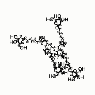 CCC(C)(C)C(CCCCN(Cc1cn(CCOCCO[C@H]2C[C@@H](O)[C@@H](O)[C@@H](CO)O2)nn1)Cc1cn(CCOCCO[C@@H]2O[C@H](CO)[C@H](O)[C@H](O)[C@H]2NC(C)=O)nn1)N(Cc1cn(CCCCCO[C@H]2C[C@@H](O)[C@@H](O)[C@@H](CO)O2)nn1)Cc1cn(CCOCCO[C@H]2C[C@@H](O)[C@@H](O)[C@@H](CO)O2)nn1